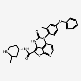 Cc1cc(Oc2ccccc2)ccc1N1C(=O)Nc2c(C(=O)N[C@H]3CCNC(C)C3)sc3nccc1c23